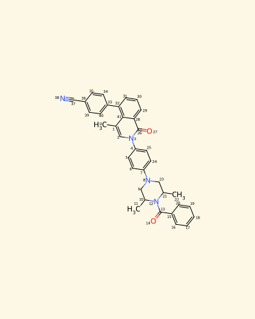 Cc1cn(-c2ccc(N3CC(C)N(C(=O)c4ccccc4)C(C)C3)cc2)c(=O)c2cccc(-c3ccc(C#N)cc3)c12